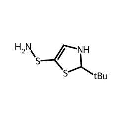 CC(C)(C)C1NC=C(SN)S1